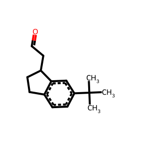 CC(C)(C)c1ccc2c(c1)C(CC=O)CC2